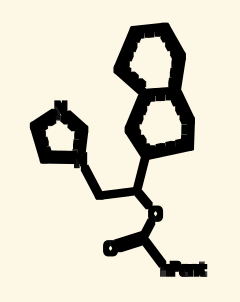 CCCCCC(=O)OC(Cn1ccnc1)c1ccc2ccccc2c1